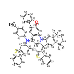 CC(C)(C)c1ccc(N2B3c4cc5c(cc4-n4c6cc7c(cc6c6c8c(sc9ccccc98)c(c3c64)-c3cc4c(cc32)sc2ccccc24)C(C)(C)CCC7(C)C)oc2ccccc25)cc1